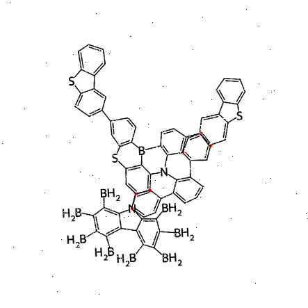 Bc1c(B)c(B)c2c(c1B)c1c(B)c(B)c(B)c(B)c1n2-c1cc2c3c(c1)N(c1c(-c4ccccc4)cccc1-c1ccccc1)c1cc(-c4ccc5sc6ccccc6c5c4)ccc1B3c1ccc(-c3ccc4sc5ccccc5c4c3)cc1S2